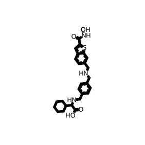 O=C(NO)c1cc2ccc(CNCc3ccc(CNC(C(=O)O)C4CCCCC4)cc3)cc2s1